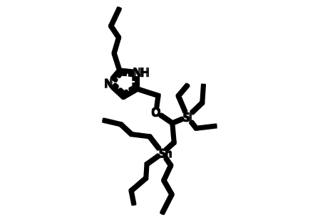 CCCCc1ncc(COC([CH2][Sn]([CH2]CCC)([CH2]CCC)[CH2]CCC)[Si](CC)(CC)CC)[nH]1